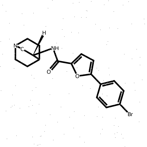 O=C(N[C@H]1CN2CCC1CC2)c1ccc(-c2ccc(Br)cc2)o1